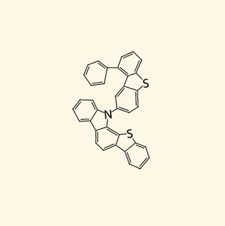 c1ccc(-c2cccc3sc4ccc(-n5c6ccccc6c6ccc7c8ccccc8sc7c65)cc4c23)cc1